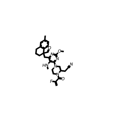 C=C(F)C(=O)N1CCN(c2nc(OC)nc(CC3(C=O)CCCc4cc(C)ccc43)c2NC)CC1CC#N